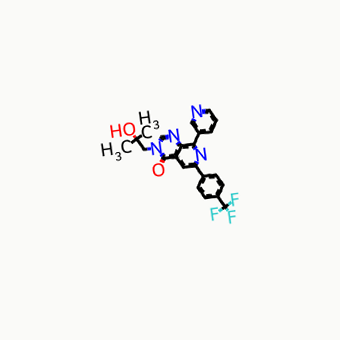 CC(C)(O)Cn1cnc2c(-c3cccnc3)nc(-c3ccc(C(F)(F)F)cc3)cc2c1=O